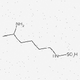 CC(N)CCCCNS(=O)(=O)O